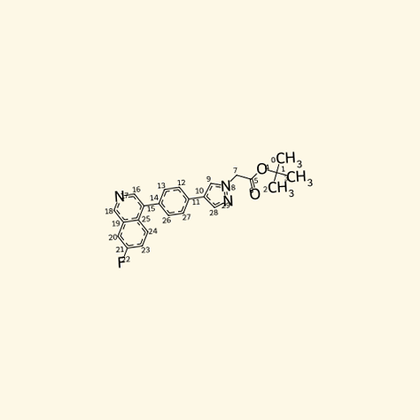 CC(C)(C)OC(=O)Cn1cc(-c2ccc(-c3cncc4cc(F)ccc34)cc2)cn1